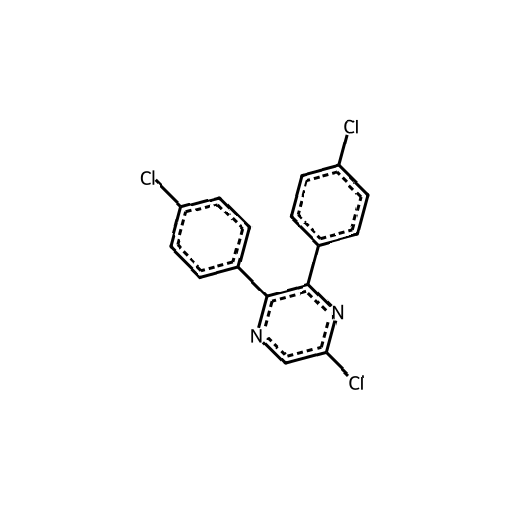 Clc1ccc(-c2ncc(Cl)nc2-c2ccc(Cl)cc2)cc1